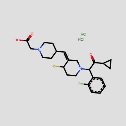 Cl.Cl.O=C(O)CN1CCC(/C=C2/CN(C(C(=O)C3CC3)c3ccccc3F)CCC2S)CC1